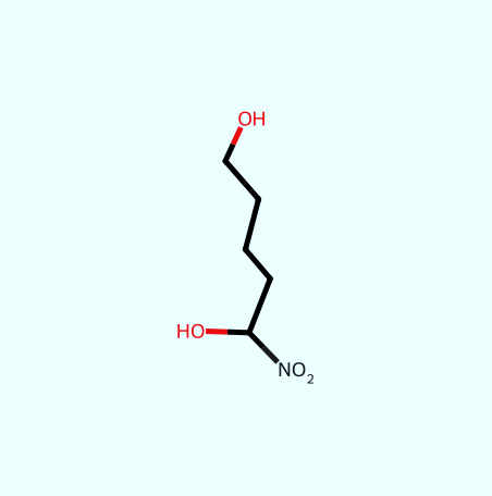 O=[N+]([O-])C(O)CCCCO